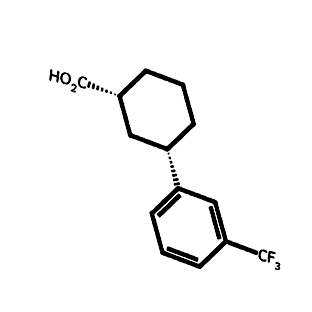 O=C(O)[C@@H]1CCC[C@H](c2cccc(C(F)(F)F)c2)C1